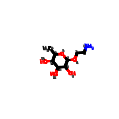 CC1O[C@@H](OCCN)C(O)C(O)[C@@H]1O